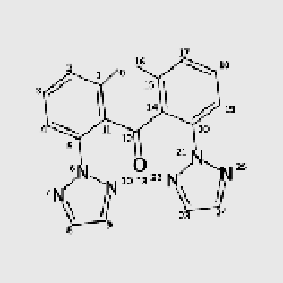 Cc1cccc(-n2nccn2)c1C(=O)c1c(C)cccc1-n1nccn1